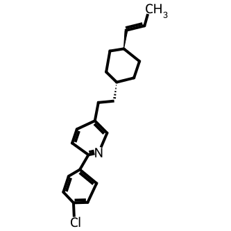 C/C=C/[C@H]1CC[C@H](CCc2ccc(-c3ccc(Cl)cc3)nc2)CC1